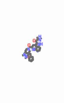 CNC(C)C(=O)c1[nH]c2ccccc2c1C[C@@H](N)C(=O)N1CCCC(Cc2ccccc2)(C(=O)N(C)N(C)C)C1